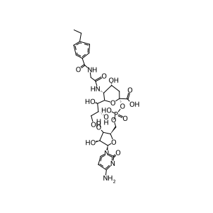 CCc1ccc(C(=O)NCC(=O)N[C@H]2C([C@H](O)[C@H](O)CO)O[C@](OP(=O)(O)OC[C@H]3O[C@@H](n4ccc(N)nc4=O)[C@@H](O)C3O)(C(=O)O)C[C@H]2O)cc1